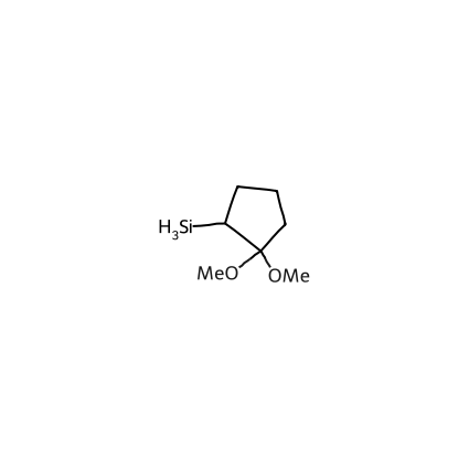 COC1(OC)CCCC1[SiH3]